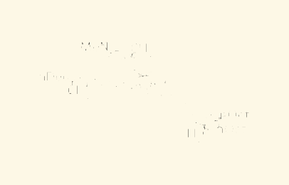 C=C(CCCCCCCCCC)CCCCCCCCC1CC(CCCCCCCCC(=C)CC(CCCCCCCC)CCCCCCCC)CC1CCC(=C)CCCNC